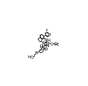 CN(CCCO)[C@H]1CCN(S(=O)(=O)c2nc(Nc3c(-c4ccnc(F)c4)ccc4c3CCC4)n(COCC[Si](C)(C)C)n2)C1